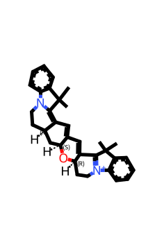 CC1(C)C2=C3C=C4C=C5C6=[N+](CC[C@H]5O[C@H]4C[C@H]3CCN2c2ccccc21)c1ccccc1C6(C)C